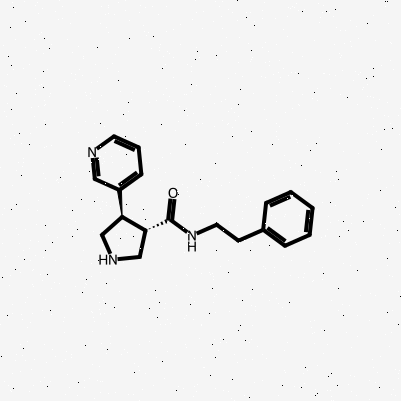 O=C(NCCc1ccccc1)[C@@H]1CNC[C@H]1c1cccnc1